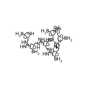 BC1CNCC(CNC(=N)N2CC(B)OC(CNC(=N)N3CC(B)OC(CNC(=N)N4CC(B)OC(Cn5cc(N6CC(B)OC(COP(=O)(N(C)C)N7CC(B)OC(CO)C7)C6)nn5)C4)C3)C2)O1